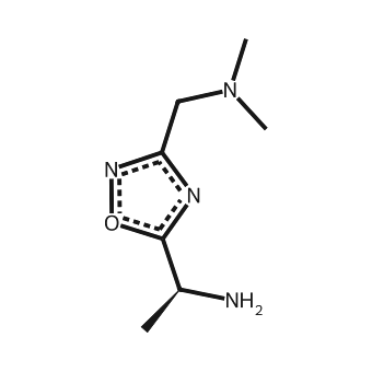 C[C@H](N)c1nc(CN(C)C)no1